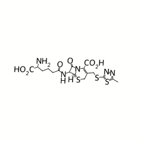 Cc1nnc(SCC2=C(C(=O)O)N3C(=O)C(NC(=O)CCCC(N)C(=O)O)[C@@H]3SC2)s1